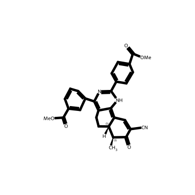 COC(=O)c1ccc(C2=NC(c3cccc(C(=O)OC)c3)=C3CC[C@@H]4C(=C3N2)C=C(C#N)C(=O)[C@H]4C)cc1